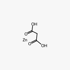 O=C(O)CC(=O)O.[Zn]